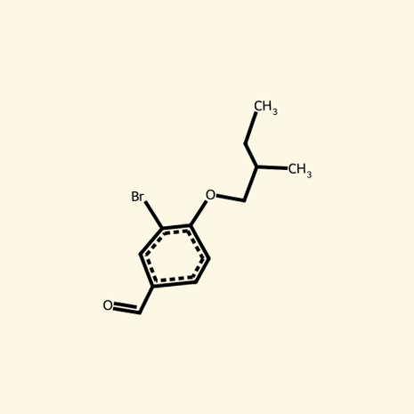 CCC(C)COc1ccc(C=O)cc1Br